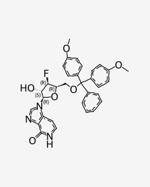 COc1ccc(C(OC[C@H]2O[C@@H](n3cnc4c(=O)[nH]ccc43)[C@H](O)[C@H]2F)(c2ccccc2)c2ccc(OC)cc2)cc1